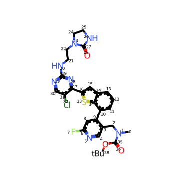 CN(Cc1cnc(F)cc1-c1cccc2cc(-c3nc(NCCN4CCNC4=O)ncc3Cl)sc12)C(=O)OC(C)(C)C